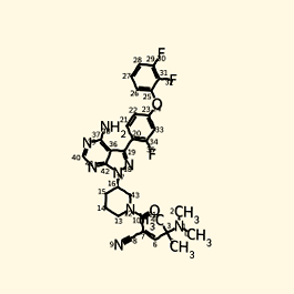 CN(C)C(C)(C)/C=C(/C#N)C(=O)N1CCC[C@@H](n2nc(-c3ccc(Oc4cccc(F)c4F)cc3F)c3c(N)ncnc32)C1